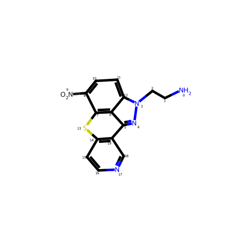 NCCn1nc2c3c(c([N+](=O)[O-])ccc31)Sc1ccncc1-2